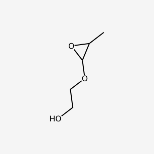 CC1OC1OCCO